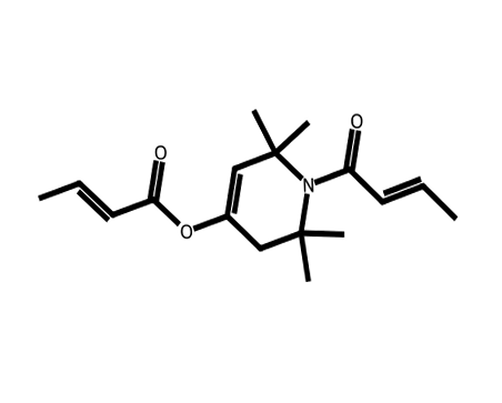 CC=CC(=O)OC1=CC(C)(C)N(C(=O)C=CC)C(C)(C)C1